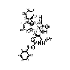 CC(C)[C@H](NC(=O)OCc1ccccc1)C(=O)N[C@]1(Cc2ccccc2)C(=O)N[C@H]1Oc1ccccc1